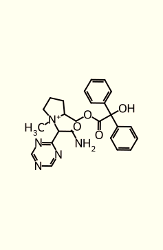 C[N+]1(C(C(N)=O)c2ncncn2)CCCC1COC(=O)C(O)(c1ccccc1)c1ccccc1